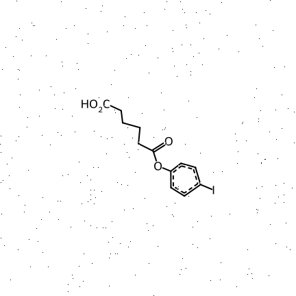 O=C(O)CCCCC(=O)Oc1ccc(I)cc1